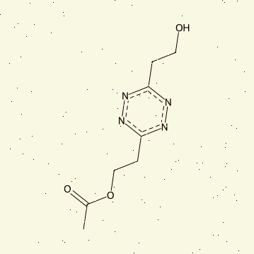 CC(=O)OCCc1nnc(CCO)nn1